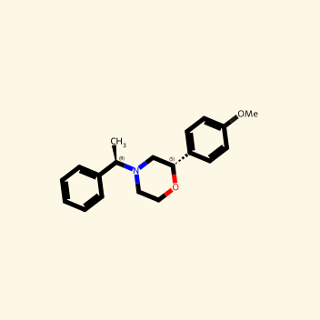 COc1ccc([C@H]2CN([C@H](C)c3ccccc3)CCO2)cc1